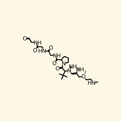 CNCCOC/C(N)=C/N(N)C(C(=O)N1CCCC1C(=O)NCC(=O)NCC(=O)NCC=O)C(C)(C)C